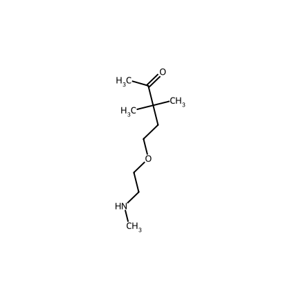 CNCCOCCC(C)(C)C(C)=O